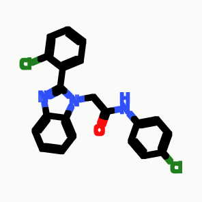 O=C(Cn1c(-c2ccccc2Cl)nc2ccccc21)Nc1ccc(Cl)cc1